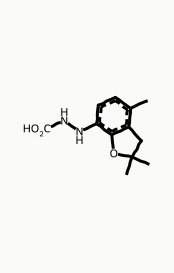 Cc1ccc(NNC(=O)O)c2c1CC(C)(C)O2